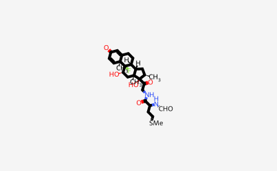 CSCCC(NC=O)C(=O)NCC(=O)[C@@]1(O)[C@@H](C)C[C@H]2[C@@H]3CCC4=CC(=O)C=C[C@]4(C)C3(F)[C@@H](O)C[C@@]21C